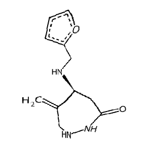 C=C1CNNC(=O)C[C@@H]1NCc1ccco1